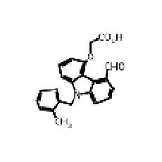 Cc1ccccc1Cn1c2cccc(C=O)c2c2c(OCC(=O)O)cccc21